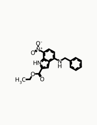 CCOC(=O)c1cc2c(NCc3ccccc3)ccc([N+](=O)[O-])c2[nH]1